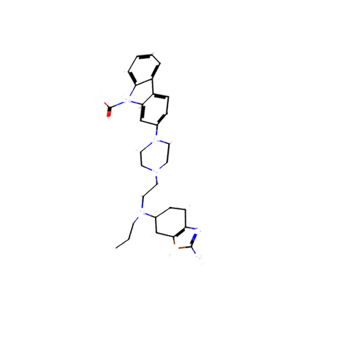 CCCN(CCN1CCN(c2ccc3c4ccccc4n(C(=O)O)c3c2)CC1)C1CCc2nc(N)sc2C1